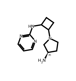 N[C@@H]1CCN(C2CCC2Nc2ncccn2)C1